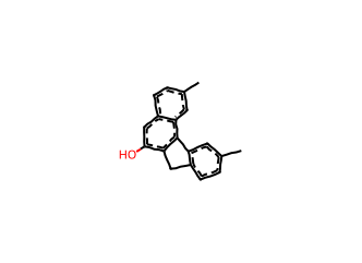 Cc1ccc2c(c1)-c1c(c(O)cc3ccc(C)cc13)C2